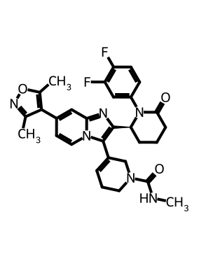 CNC(=O)N1CCC=C(c2c([C@@H]3CCCC(=O)N3c3ccc(F)c(F)c3)nc3cc(-c4c(C)noc4C)ccn23)C1